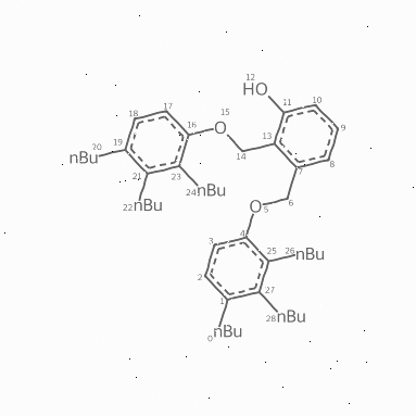 CCCCc1ccc(OCc2cccc(O)c2COc2ccc(CCCC)c(CCCC)c2CCCC)c(CCCC)c1CCCC